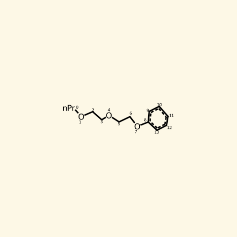 CCCOCCOCCOc1ccccc1